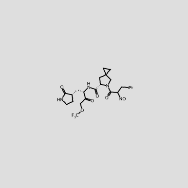 CC(C)CC(N=O)C(=O)N1CC2(CC2)C[C@H]1C(=O)N[C@@H](C[C@@H]1CCNC1=O)C(=O)COC(F)(F)F